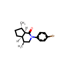 C[C@@H]1CN(c2ccc(Br)cc2)C(=O)[C@H]2[C@@H]1CC[C@@H]2C